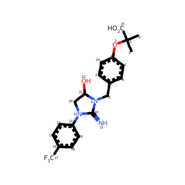 CC(C)(Oc1ccc(CN2C(=N)N(c3ccc(C(F)(F)F)cc3)CC2O)cc1)C(=O)O